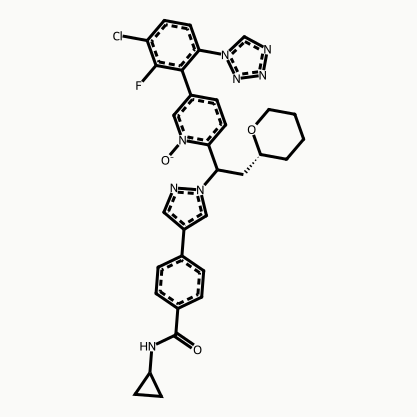 O=C(NC1CC1)c1ccc(-c2cnn(C(C[C@H]3CCCCO3)c3ccc(-c4c(-n5cnnn5)ccc(Cl)c4F)c[n+]3[O-])c2)cc1